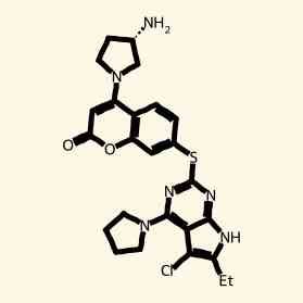 CCc1[nH]c2nc(Sc3ccc4c(N5CC[C@H](N)C5)cc(=O)oc4c3)nc(N3CCCC3)c2c1Cl